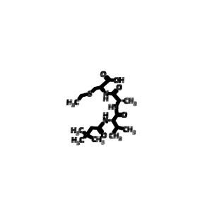 CCSCC(NC(=O)[C@H](C)NC(=O)[C@@H](NC(=O)CC(C)(C)C)C(C)C)C(=O)O